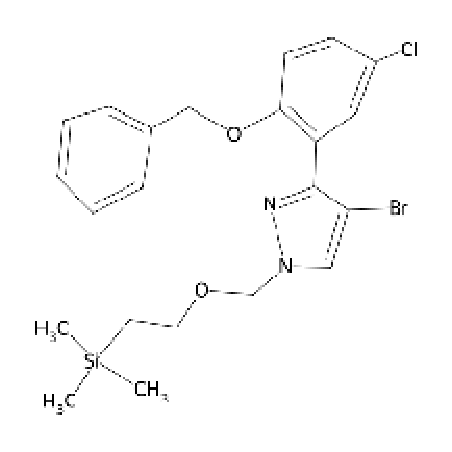 C[Si](C)(C)CCOCn1cc(Br)c(-c2cc(Cl)ccc2OCc2ccccc2)n1